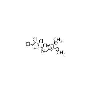 COc1ccc(/C=N\C(C)c2ccc(Cl)c(Cl)c2Cl)cc1OC